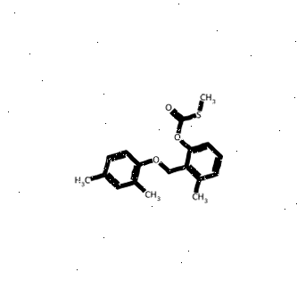 CSC(=O)Oc1cccc(C)c1COc1ccc(C)cc1C